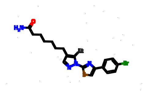 CCc1c(CCCCCCC(N)=O)cnn1-c1nc(-c2ccc(Br)cc2)cs1